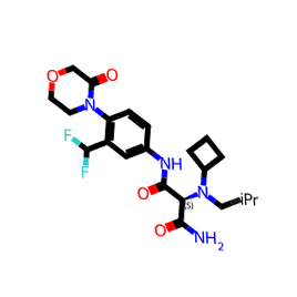 CC(C)CN(C1CCC1)[C@@H](C(N)=O)C(=O)Nc1ccc(N2CCOCC2=O)c(C(F)F)c1